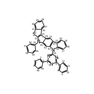 c1ccc(-c2nc(-c3ccccc3)nc(-n3c4ccccc4c4cc5c6c7ccccc7sc6n(-c6ccccc6)c5cc43)n2)cc1